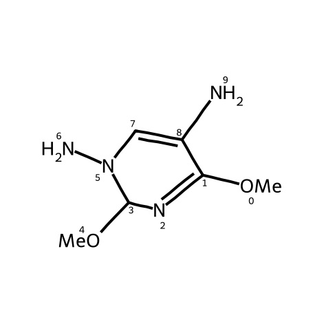 COC1=NC(OC)N(N)C=C1N